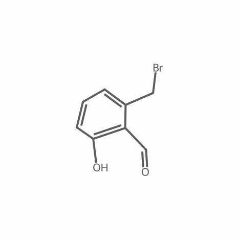 O=Cc1c(O)cccc1CBr